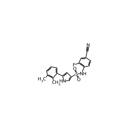 Cc1cccc(-c2cc(S(=O)(=O)Nc3ccc(C#N)cc3F)c[nH]2)c1C